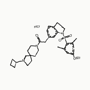 COc1cc(C)c(S(=O)(=O)N2CCCc3ccc(CC(=O)N4CCC5(CC4)CCN(C4CCC4)C5)cc32)c(C)c1.Cl